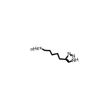 CCCCCCCCCCCc1c[nH]nn1